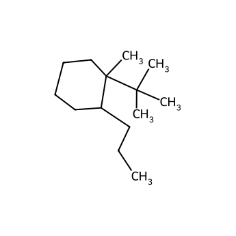 CCCC1CCCCC1(C)C(C)(C)C